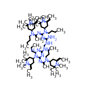 C=C(/N=C(\N=C(/N)NCN/C(N)=N/C(=N\C(=C)N(CCCC)C1C/C(=C/C)N(C)C(C)(C)C1)N(CCCC)C1C/C(=C/C)N(C)C(C)(C)C1)N(CCCC)C1C/C(=C/C)N(C)C(C)(C)C1)N(CCCC)C1C/C(=C/C)N(C)C(C)(C)C1